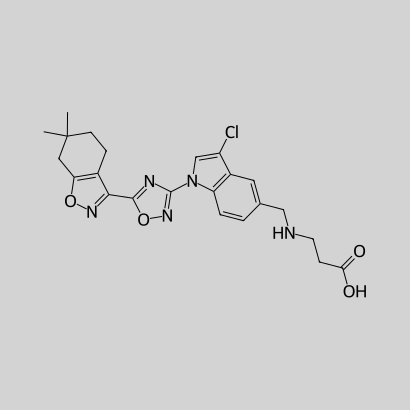 CC1(C)CCc2c(-c3nc(-n4cc(Cl)c5cc(CNCCC(=O)O)ccc54)no3)noc2C1